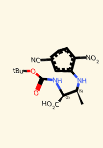 C[C@H](Nc1cc(C#N)ccc1[N+](=O)[O-])[C@H](NC(=O)OC(C)(C)C)C(=O)O